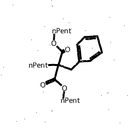 CCCCCOC(=O)C(CCCCC)(Cc1ccccc1)C(=O)OCCCCC